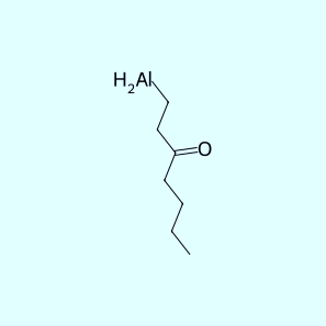 CCCCC(=O)C[CH2][AlH2]